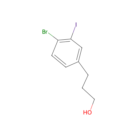 OCCCc1ccc(Br)c(I)c1